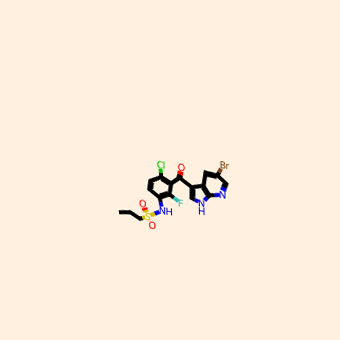 CCCS(=O)(=O)Nc1ccc(Cl)c(C(=O)c2c[nH]c3ncc(Br)cc23)c1F